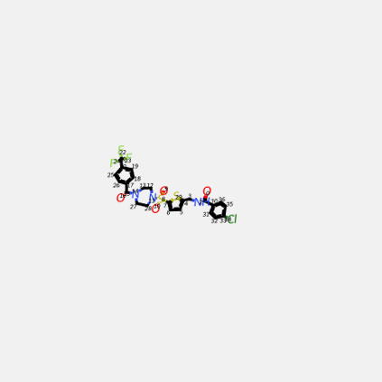 O=C(NCc1ccc(S(=O)(=O)N2CCN(C(=O)c3ccc(C(F)(F)F)cc3)CC2)s1)c1ccc(Cl)cc1